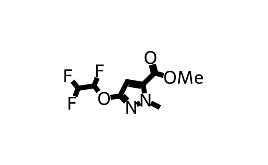 COC(=O)c1cc(OC(F)C(F)F)nn1C